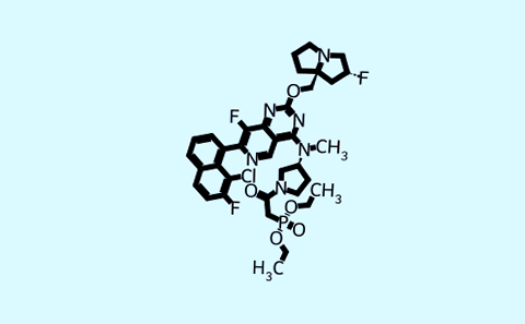 CCOP(=O)(CC(=O)N1CC[C@@H](N(C)c2nc(OC[C@@]34CCCN3C[C@H](F)C4)nc3c(F)c(-c4cccc5ccc(F)c(Cl)c45)ncc23)C1)OCC